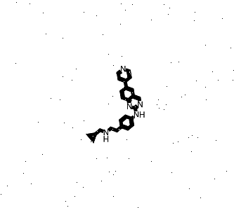 c1cc(-c2ccc3nc(Nc4ccc(CCNCC5CC5)cc4)ncc3c2)ccn1